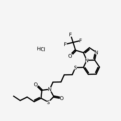 CCC/C=C1/SC(=O)N(CCCCSc2cccc3ncc(C(=O)C(F)(F)F)n23)C1=O.Cl